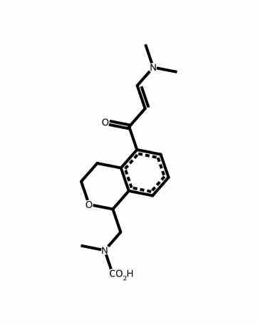 CN(C)C=CC(=O)c1cccc2c1CCOC2CN(C)C(=O)O